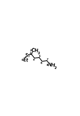 CCSC(C)CCCCN